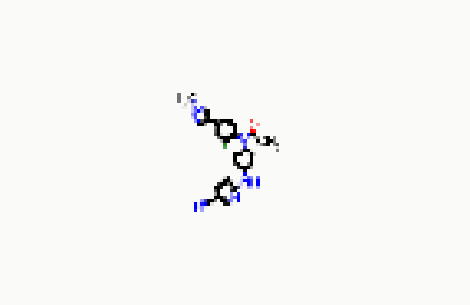 CC(=O)N(c1ccc(-c2cnn(C)c2)cc1F)C1CCC(Nc2ccc(C#N)cn2)CC1